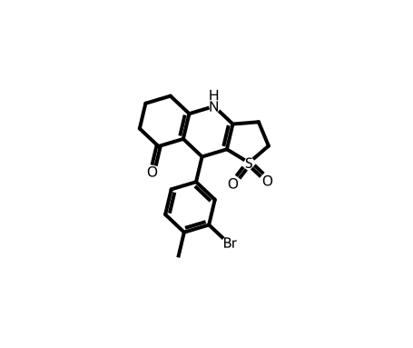 Cc1ccc(C2C3=C(CCCC3=O)NC3=C2S(=O)(=O)CC3)cc1Br